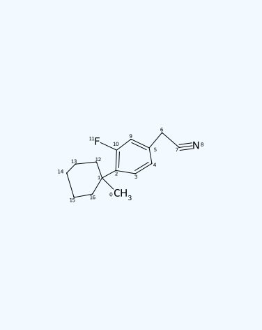 CC1(c2ccc(CC#N)cc2F)CCCCC1